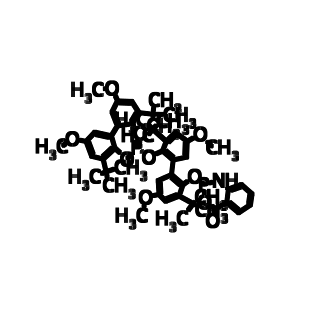 COc1cc(-c2cc(OC)cc(C(C)(C)C)c2Op2oc3c(C(C)(C)C)cc(OC)cc3c3cc(OC)cc(C(C)(C)C)c3o2)c(OP2Nc3ccccc3C(=O)O2)c(C(C)(C)C)c1